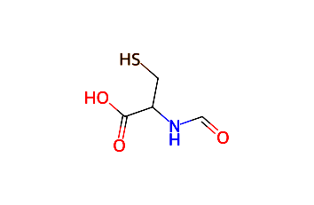 O=CNC(CS)C(=O)O